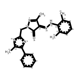 CC1=NN(Cc2nc(-c3ccccc3)c(C)s2)C(=O)/C1=N/Nc1c(C)cccc1C